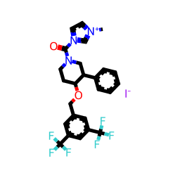 C[n+]1ccn(C(=O)N2CCC(OCc3cc(C(F)(F)F)cc(C(F)(F)F)c3)C(c3ccccc3)C2)c1.[I-]